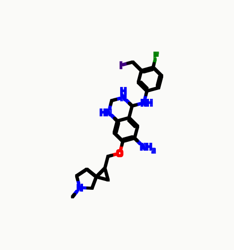 CN1CCC2(CC2COc2cc3c(cc2N)C(Nc2ccc(F)c(CI)c2)NCN3)C1